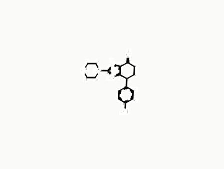 O=C1CCC(c2ccc(Cl)cc2)c2nc(N3CCOCC3)sc21